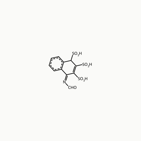 O=CN=C1C(S(=O)(=O)O)=C(S(=O)(=O)O)C(S(=O)(=O)O)c2ccccc21